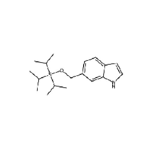 CC(C)[Si](OCc1ccc2cc[nH]c2c1)(C(C)C)C(C)C